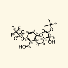 CC(C)(C)OC(=O)[C@@](C)(O)[C@H]1CCc2c(ccc(OS(=O)(=O)C(F)(F)F)c2CO)O1